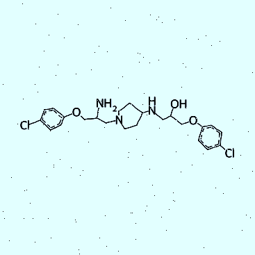 NC(COc1ccc(Cl)cc1)CN1CCC(NCC(O)COc2ccc(Cl)cc2)CC1